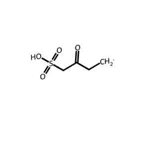 [CH2]CC(=O)CS(=O)(=O)O